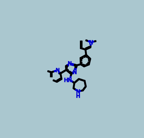 C=C/C(=C\N(C)C)c1cccc(-c2ncc(C(/C=C\C)=N/C(=C)C)c(NC3CCCCNC3)n2)c1